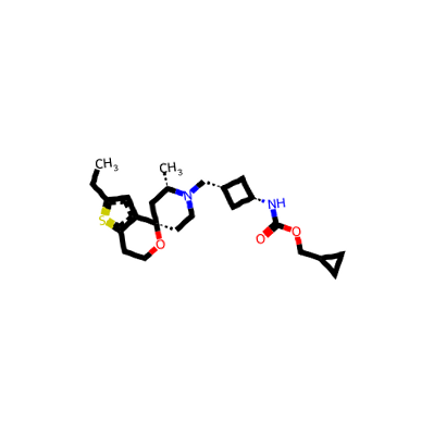 CCc1cc2c(s1)CCO[C@@]21CCN(C[C@H]2C[C@@H](NC(=O)OCC3CC3)C2)[C@@H](C)C1